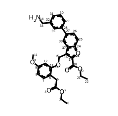 CCOC(=O)Cc1ccc(OC)cc1OCc1c(C(=O)OCC)oc2ccc(-c3cccc(CN)c3)cc12